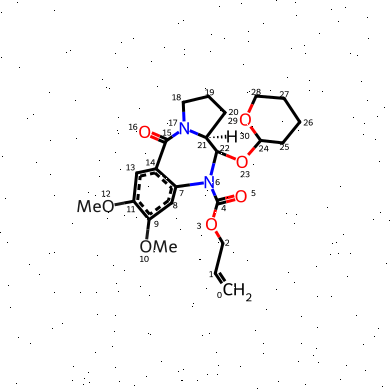 C=CCOC(=O)N1c2cc(OC)c(OC)cc2C(=O)N2CCC[C@H]2C1OC1CCCCO1